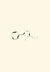 Cn1c(N)nnc1-c1ccncc1